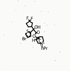 CCC[N+]12CCC(CC1)[C@@H](OC(=O)C(O)(c1cccs1)C1CCC(F)(F)C1)C2.[Br-]